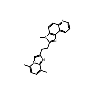 Cc1ccc(C)n2cc(CCc3nc4c5cccnc5ccc4n3C)nc12